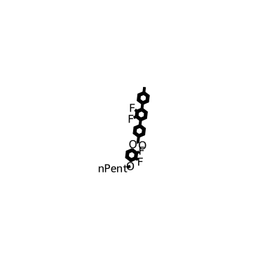 CCCCCOc1ccc(OC(=O)c2ccc(-c3ccc(-c4ccc(C)cc4)c(F)c3F)cc2)c(F)c1F